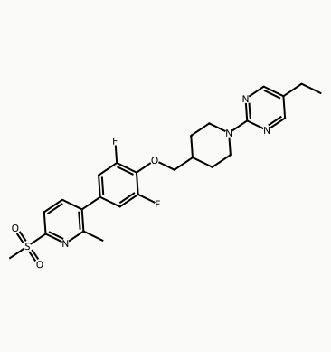 CCc1cnc(N2CCC(COc3c(F)cc(-c4ccc(S(C)(=O)=O)nc4C)cc3F)CC2)nc1